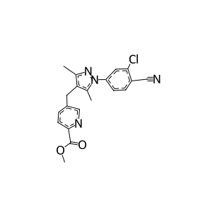 COC(=O)c1ccc(Cc2c(C)nn(-c3ccc(C#N)c(Cl)c3)c2C)cn1